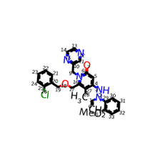 C=CN(Nc1cc(=O)n(Cc2cnccn2)c(COCc2ccccc2Cl)c1C)c1ccccc1OC